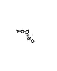 CC1=NN(c2ccc(C)c(C)c2)C(=O)C1=NNc1cc(Cl)cc(-c2ccc(-c3nnn[nH]3)cc2)c1O